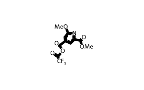 COC(=O)c1cc(C(=O)OC(=O)C(F)(F)F)cc(OC)n1